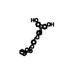 CC1(OC(=O)COc2ccc(COc3ccc([SH]4c5ccc(O)cc5-c5cc(O)ccc54)cc3)cc2)C2CC3CC(C2)CC1C3